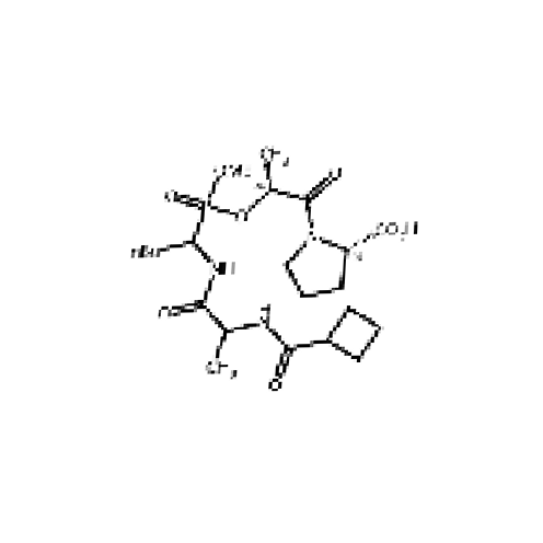 CCCCC(NC(=O)C(C)NC(=O)C1CCC1)P(=O)(OC)O[C@@H](C)C(=O)N1CCC[C@H]1C(=O)O